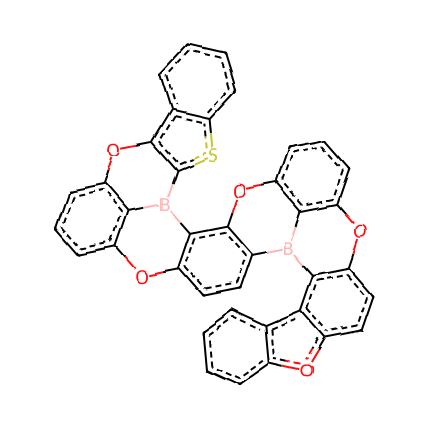 c1cc2c3c(c1)Oc1c(sc4ccccc14)B3c1c(ccc3c1Oc1cccc4c1B3c1c(ccc3oc5ccccc5c13)O4)O2